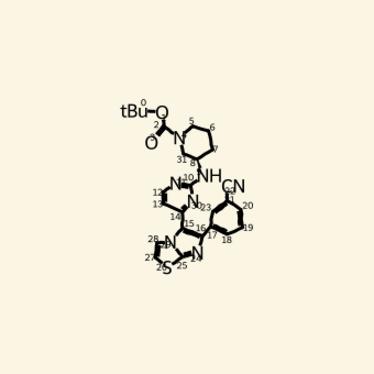 CC(C)(C)OC(=O)N1CCC[C@@H](Nc2nccc(-c3c(-c4cccc(C#N)c4)nc4sccn34)n2)C1